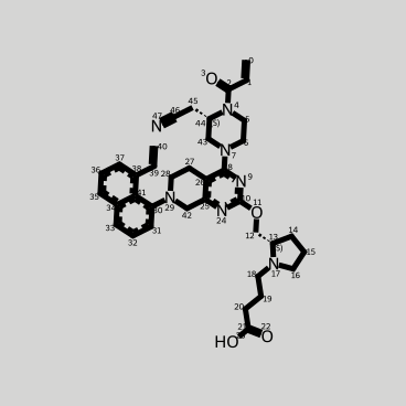 C=CC(=O)N1CCN(c2nc(OC[C@@H]3CCCN3CCCC(=O)O)nc3c2CCN(c2cccc4cccc(C=C)c24)C3)C[C@@H]1CC#N